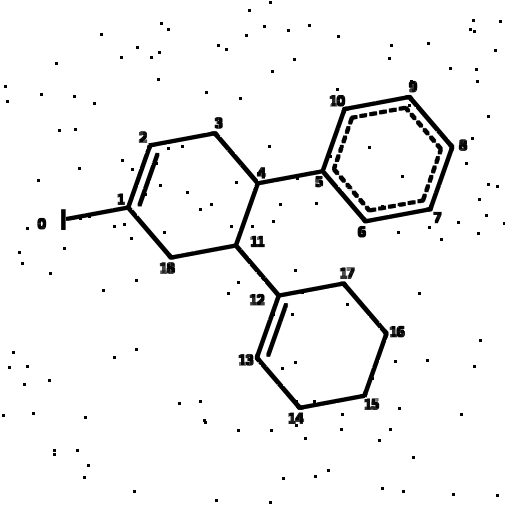 IC1=CCC(c2ccccc2)C(C2=CCCCC2)C1